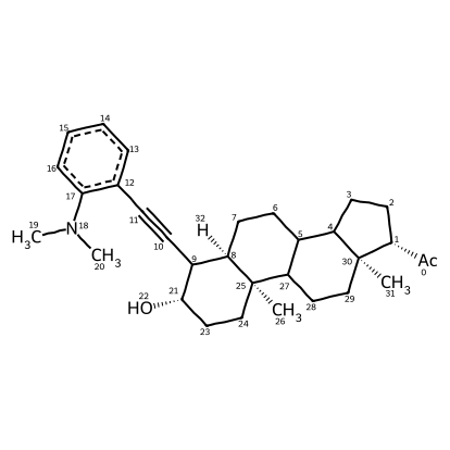 CC(=O)[C@H]1CCC2C3CC[C@@H]4C(C#Cc5ccccc5N(C)C)[C@@H](O)CC[C@]4(C)C3CC[C@@]21C